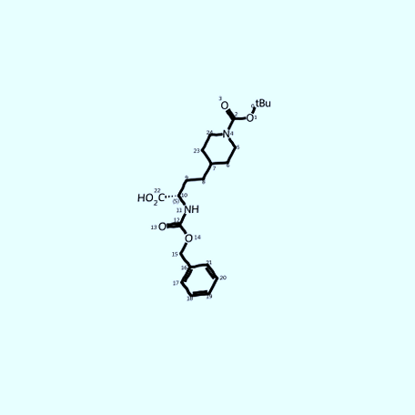 CC(C)(C)OC(=O)N1CCC(CC[C@H](NC(=O)OCc2ccccc2)C(=O)O)CC1